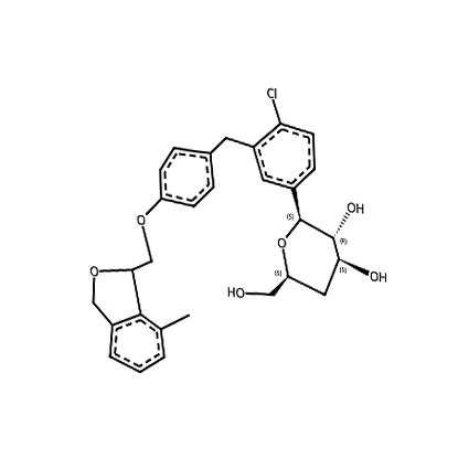 Cc1cccc2c1C(COc1ccc(Cc3cc([C@@H]4O[C@H](CO)C[C@H](O)[C@H]4O)ccc3Cl)cc1)OC2